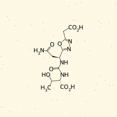 CC(O)[C@H](NC(=O)N[C@@H](CC(N)=O)c1nnc(CC(=O)O)o1)C(=O)O